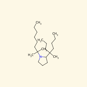 CCCCCCC(C)(C)N1CCCC1C(C)(CCC)CCCC